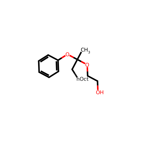 CCCCCCCCCC(C)(OCCO)Oc1ccccc1